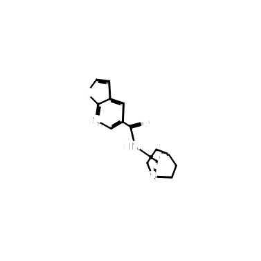 O=C(NC1CC2CCN(CC2)C1)c1cnc2sccc2c1